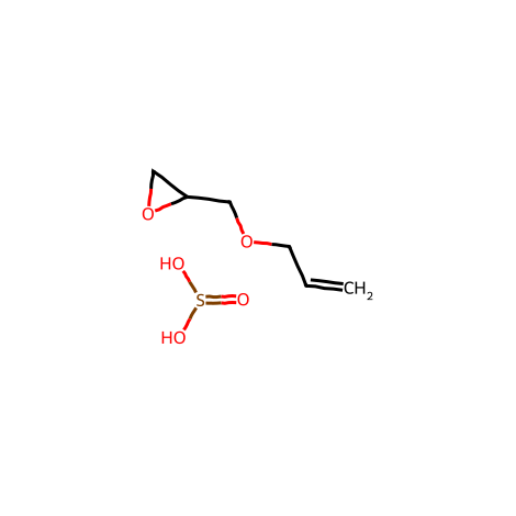 C=CCOCC1CO1.O=S(O)O